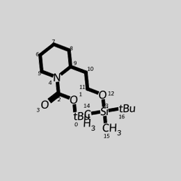 CC(C)(C)OC(=O)N1CCCCC1CCO[Si](C)(C)C(C)(C)C